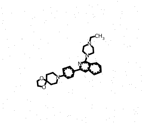 CCN1CCN(c2nc(-c3ccc(N4CCC5(CC4)OCCO5)cc3)cc3ccccc23)CC1